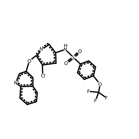 O=S(=O)(Nc1cnc(Oc2cnc3ccccc3c2)c(Cl)c1)c1ccc(OC(F)(F)F)cc1